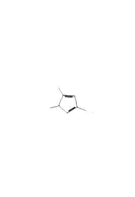 CC1C=C(C(C)(C)C)C=[C]1[Zr]